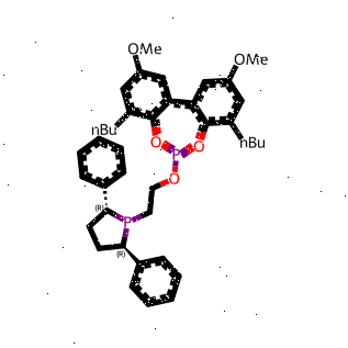 CCCCc1cc(OC)cc2c1op(OCCP1[C@@H](c3ccccc3)CC[C@@H]1c1ccccc1)oc1c(CCCC)cc(OC)cc12